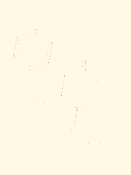 CC(C)(C)OC(=O)[C@H](O)[C@@H](NC(=O)O)c1ccccc1